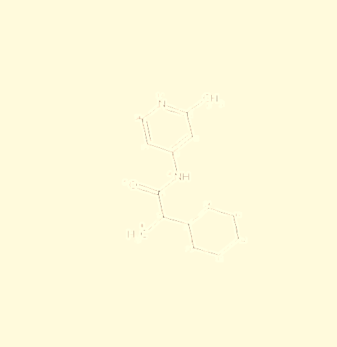 Cc1cc(NC(=O)C(C)C2CCCCC2)ccn1